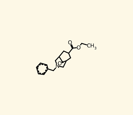 CCOC(=O)C1CC2CN(Cc3ccccc3)CC(C1)C2=O